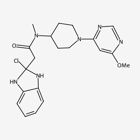 COc1cc(N2CCC(N(C)C(=O)CC3(Cl)Nc4ccccc4N3)CC2)ncn1